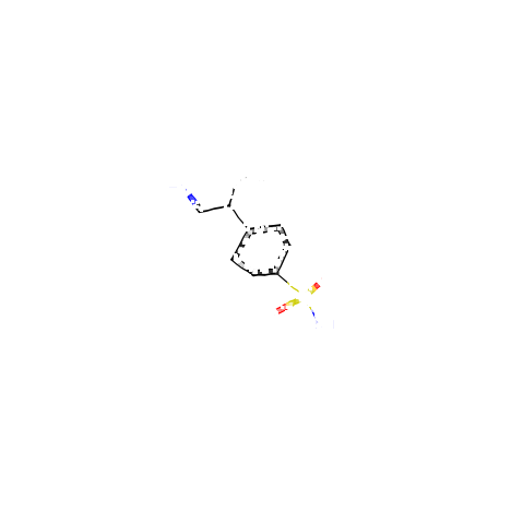 COC(C=N)c1ccc(S(N)(=O)=O)cc1